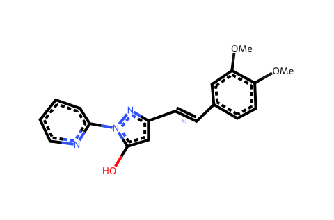 COc1ccc(/C=C/c2cc(O)n(-c3ccccn3)n2)cc1OC